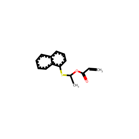 C=CC(=O)OC(C)Sc1cccc2ccccc12